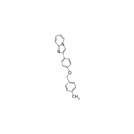 Cc1ccc(COc2ccc(-c3cn4ccccc4n3)cc2)cc1